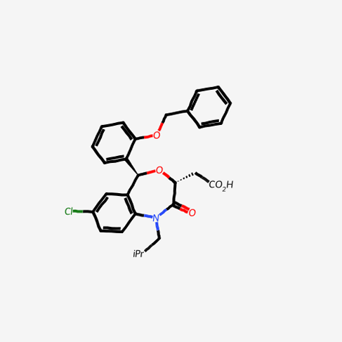 CC(C)CN1C(=O)[C@@H](CC(=O)O)O[C@H](c2ccccc2OCc2ccccc2)c2cc(Cl)ccc21